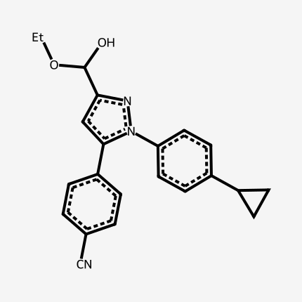 CCOC(O)c1cc(-c2ccc(C#N)cc2)n(-c2ccc(C3CC3)cc2)n1